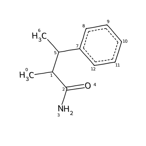 CC(C(N)=O)C(C)c1ccccc1